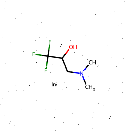 CN(C)CC(O)C(F)(F)F.[In]